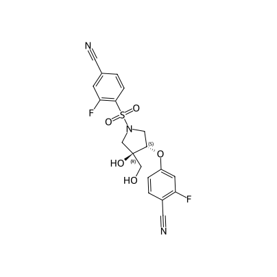 N#Cc1ccc(S(=O)(=O)N2C[C@H](Oc3ccc(C#N)c(F)c3)[C@](O)(CO)C2)c(F)c1